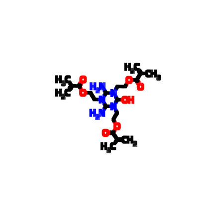 C=C(C)C(=O)OCCN1C(N)N(CCOC(=O)C(=C)C)C(O)N(CCOC(=O)C(=C)C)C1N